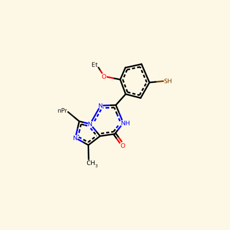 CCCc1nc(C)c2c(=O)[nH]c(-c3cc(S)ccc3OCC)nn12